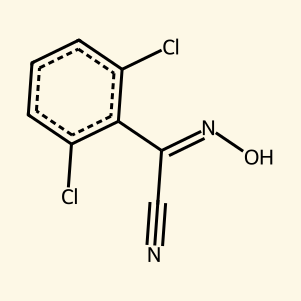 N#CC(=NO)c1c(Cl)cccc1Cl